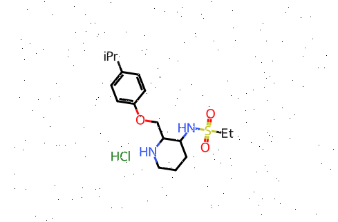 CCS(=O)(=O)NC1CCCNC1COc1ccc(C(C)C)cc1.Cl